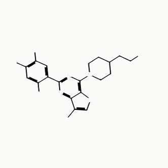 Cc1csc2c(N3CCC(CCC(=O)O)CC3)nc(-c3cc(F)c(Br)cc3F)nc12